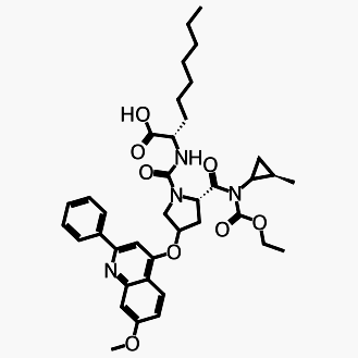 CCCCCCC[C@H](NC(=O)N1CC(Oc2cc(-c3ccccc3)nc3cc(OC)ccc23)C[C@H]1C(=O)N(C(=O)OCC)C1C[C@H]1C)C(=O)O